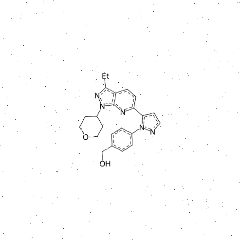 CCc1nn(C2CCOCC2)c2nc(-c3ccnn3-c3ccc(CO)cc3)ccc12